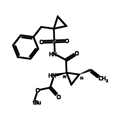 C=C[C@@H]1C[C@]1(NC(=O)OC(C)(C)C)C(=O)NS(=O)(=O)C1(Cc2ccccc2)CC1